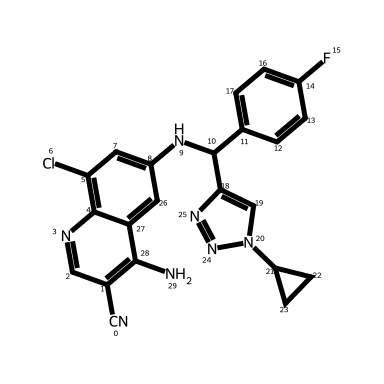 N#Cc1cnc2c(Cl)cc(NC(c3ccc(F)cc3)c3cn(C4CC4)nn3)cc2c1N